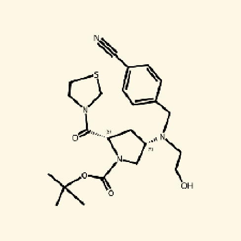 CC(C)(C)OC(=O)N1C[C@@H](N(CCO)Cc2ccc(C#N)cc2)C[C@H]1C(=O)N1CCSC1